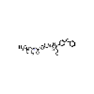 CN(C)C/C=C/C(=O)N1CC2(CCN(c3nc(-c4ccc(Oc5ccccc5)cc4)c(C=O)s3)C2)C1